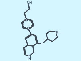 N#CCCc1ccc(C2=CC3C=CNCC3C(OC3CCNCC3)=C2)cc1